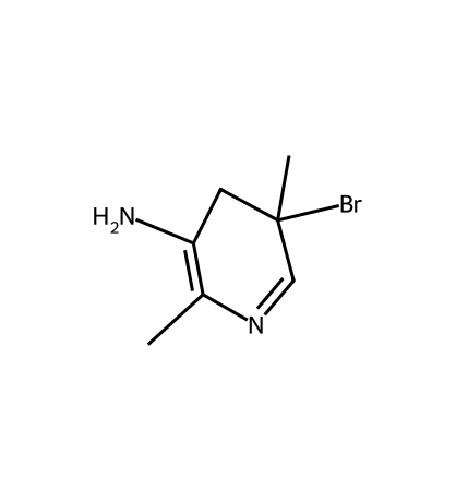 CC1=C(N)CC(C)(Br)C=N1